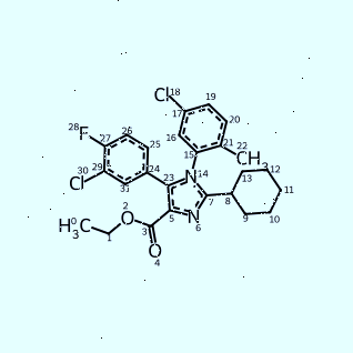 CCOC(=O)c1nc(C2CCCCC2)n(-c2cc(Cl)ccc2C)c1-c1ccc(F)c(Cl)c1